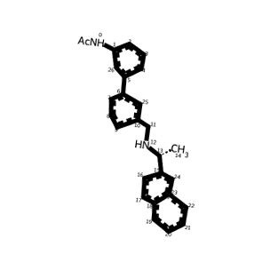 CC(=O)Nc1cccc(-c2cccc(CN[C@H](C)c3ccc4ccccc4c3)c2)c1